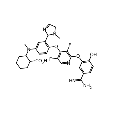 CN1CC=NC1c1cc(N(C)C2CCCCC2C(=O)O)ccc1Oc1c(F)cnc(Oc2cc(C(=N)N)ccc2O)c1F